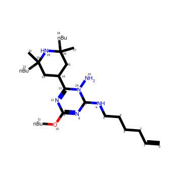 C=CCCCCNC1N=C(OCCCC)N=C(C2CC(C)(CCCC)NC(C)(CCCC)C2)N1N